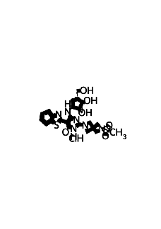 CS(=O)(=O)N1CC2(CN(c3nc(N[C@@H]4C[C@H](CO)[C@@H](O)[C@H]4O)c(-c4nc5ccccc5s4)c(=O)[nH]3)C2)C1.Cl